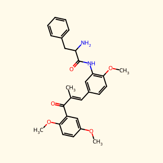 COc1ccc(OC)c(C(=O)C(C)=Cc2ccc(OC)c(NC(=O)C(N)Cc3ccccc3)c2)c1